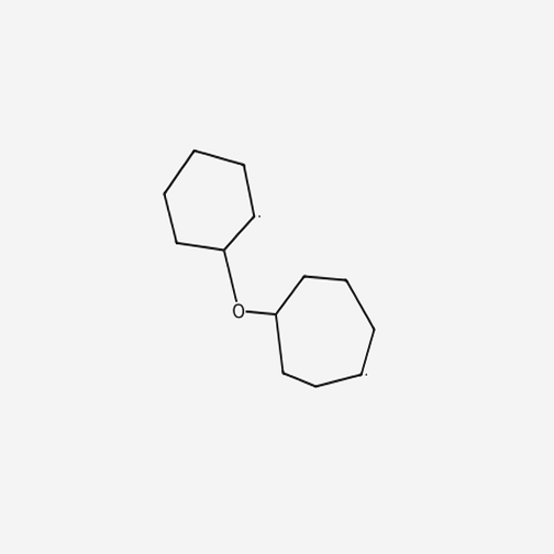 [CH]1CCCC(OC2[CH]CCCC2)CC1